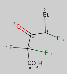 CCC(F)C(=O)C(F)(F)C(=O)O